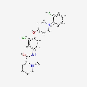 CC(=O)N1CCCCC1C(=O)Nc1ccc(OC2CCN(c3ccccc3F)CC2)c(Cl)c1